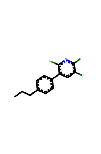 CCCc1ccc(-c2cc(F)c(F)nc2F)cc1